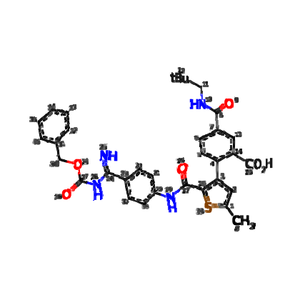 Cc1cc(-c2ccc(C(=O)NCC(C)(C)C)cc2C(=O)O)c(C(=O)Nc2ccc(C(=N)NC(=O)OCc3ccccc3)cc2)s1